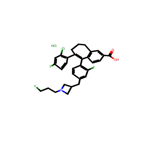 Cl.O=C(O)c1ccc2c(c1)CCCC(c1ccc(F)cc1Cl)=C2c1ccc(CC2CN(CCCF)C2)cc1F